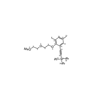 COCCOCCOc1c(C)cc(C)cc1C#C[Si](C(C)C)(C(C)C)C(C)C